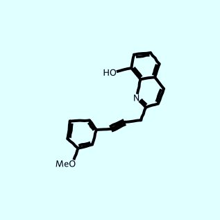 COc1cccc(C#CCc2ccc3cccc(O)c3n2)c1